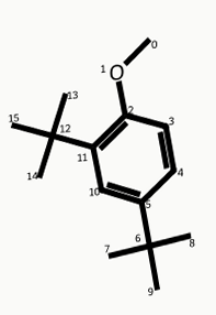 COc1ccc(C(C)(C)C)cc1C(C)(C)C